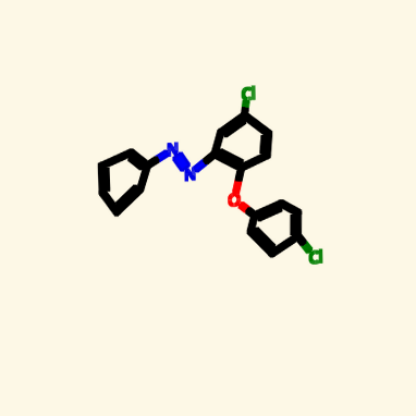 Clc1ccc(Oc2ccc(Cl)cc2N=Nc2ccccc2)cc1